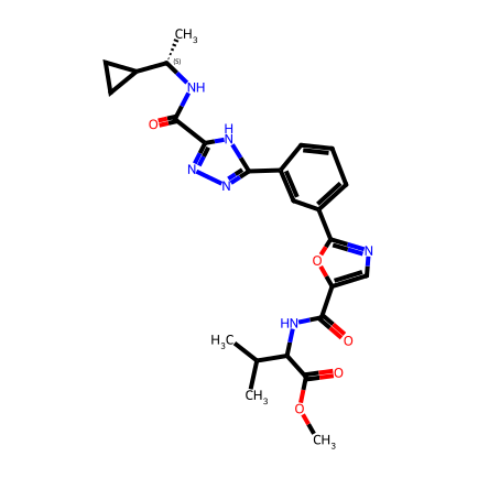 COC(=O)C(NC(=O)c1cnc(-c2cccc(-c3nnc(C(=O)N[C@@H](C)C4CC4)[nH]3)c2)o1)C(C)C